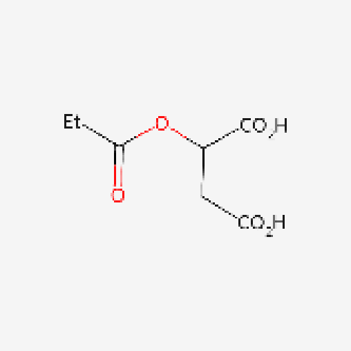 CCC(=O)OC(CC(=O)O)C(=O)O